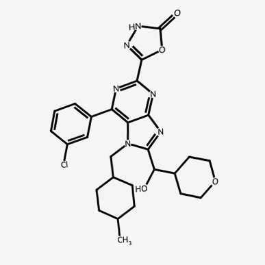 CC1CCC(Cn2c(C(O)C3CCOCC3)nc3nc(-c4n[nH]c(=O)o4)nc(-c4cccc(Cl)c4)c32)CC1